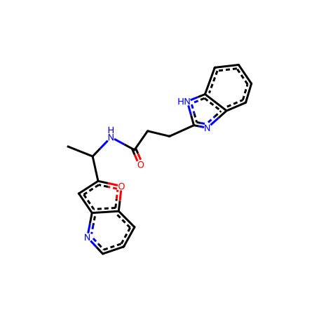 CC(NC(=O)CCc1nc2ccccc2[nH]1)c1cc2ncccc2o1